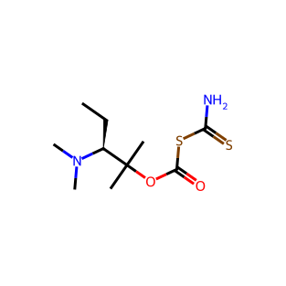 CC[C@H](N(C)C)C(C)(C)OC(=O)SC(N)=S